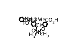 COc1cc(CC(=O)N(C)[C@@H](C)COc2ccc(C(=O)O)cc2Cl)ccc1NC(=O)Nc1ccccc1F